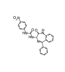 O=C(Nc1ccc([N+](=O)[O-])cc1)NC1N=C(c2ccccc2)c2ccccc2NC1=O